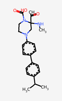 CNC1(C(C)=O)CN(c2ccc(-c3ccc(C(C)C)cc3)cc2)CCN1C(=O)O